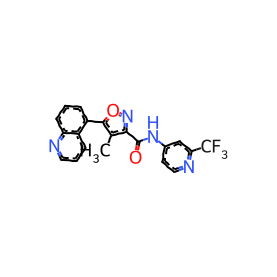 Cc1c(C(=O)Nc2ccnc(C(F)(F)F)c2)noc1-c1cccc2ncccc12